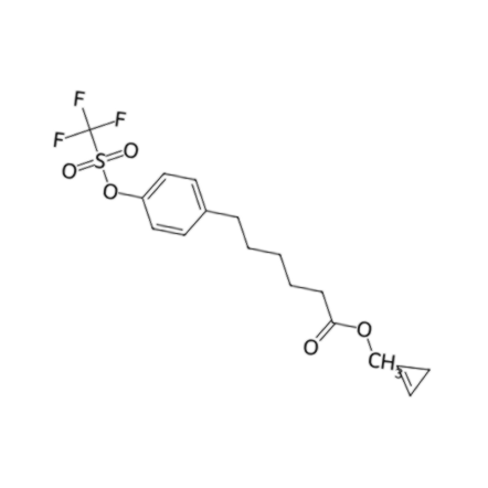 C1=CC1.COC(=O)CCCCCc1ccc(OS(=O)(=O)C(F)(F)F)cc1